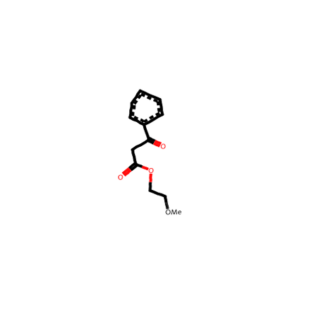 COCCOC(=O)CC(=O)c1ccccc1